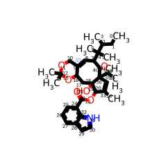 CCC(C)C(C)(C)C1/C=C2/COC(C)(C)OC2CC2(O)C(OC(=O)c3cccc4cc[nH]c34)C(C)=CC2(C(C)C)C1=O